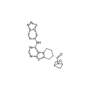 O=C([C@H]1CCc2c(sc3ncnc(Nc4ccc5nnsc5c4)c23)C1)N1C2COC1C2